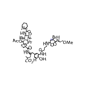 CC[C@H](C)[C@H](NC(=O)[C@@H]1CCCCN1C)C(=O)N(C)C(C[C@@H](OC(C)=O)c1nc(C(=O)N[C@@H](Cc2ccc(O)c(NC(=O)CCCNC(=O)/C=C(/Br)C(=O)NCCOC)c2)CC(C)C(=O)O)cs1)C(C)C